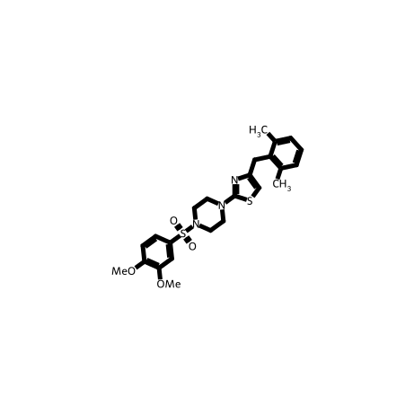 COc1ccc(S(=O)(=O)N2CCN(c3nc(Cc4c(C)cccc4C)cs3)CC2)cc1OC